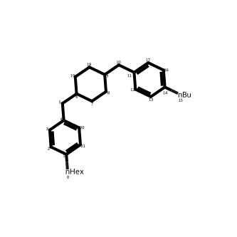 CCCCCCc1ccc(CC2CCC(Cc3ccc(CCCC)cc3)CC2)cc1